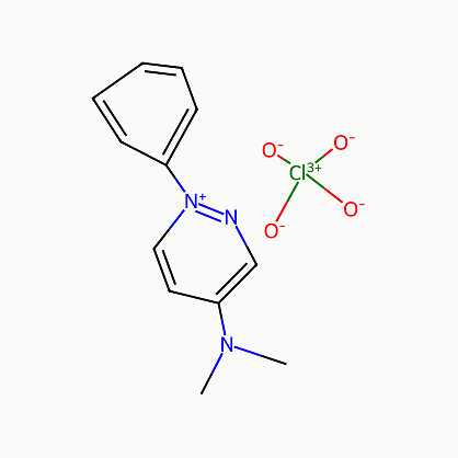 CN(C)c1cc[n+](-c2ccccc2)nc1.[O-][Cl+3]([O-])([O-])[O-]